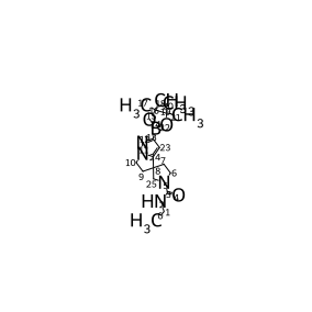 CCNC(=O)N1CCC2(CCn3nc(B4OC(C)(C)C(C)(C)O4)cc32)C1